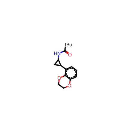 CC(C)(C)C(=O)NC1CC1c1cccc2c1OCCO2